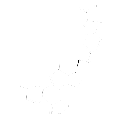 O=C(O)c1cc2cc(NC(=O)[C@H]3CCc4cc(-c5cc(Cl)ccc5N5C=NNN5)cc(=O)n43)ccc2[nH]1